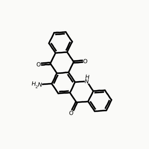 Nc1cc2c(=O)c3ccccc3[nH]c2c2c1C(=O)c1ccccc1C2=O